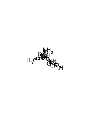 Cc1ccc(NC(=O)C(CC(N)=O)NC(=O)c2ccc(NC(=O)C(C)Oc3ccc(C#N)cc3)cc2)cc1